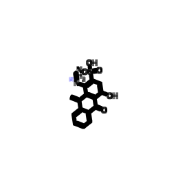 C=C1c2ccccc2C(=O)c2c(O)cc(S(=O)(=O)O)c(/N=C\N)c21